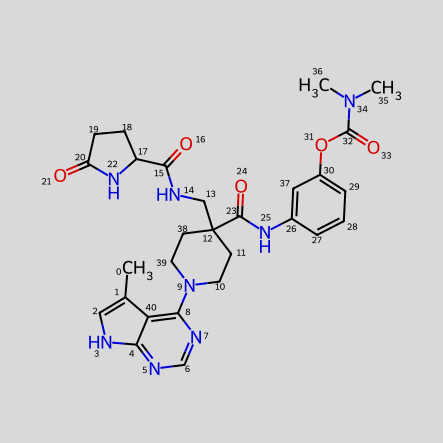 Cc1c[nH]c2ncnc(N3CCC(CNC(=O)C4CCC(=O)N4)(C(=O)Nc4cccc(OC(=O)N(C)C)c4)CC3)c12